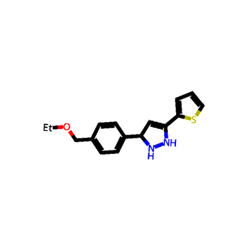 CCOCc1ccc(C2C=C(c3cccs3)NN2)cc1